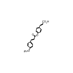 CC(C)Oc1ccc(/C=C/C(=O)Oc2ccc(/C=C/C(=O)O)cc2)cc1